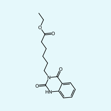 CCOC(=O)CCCCCn1c(=O)[nH]c2ccccc2c1=O